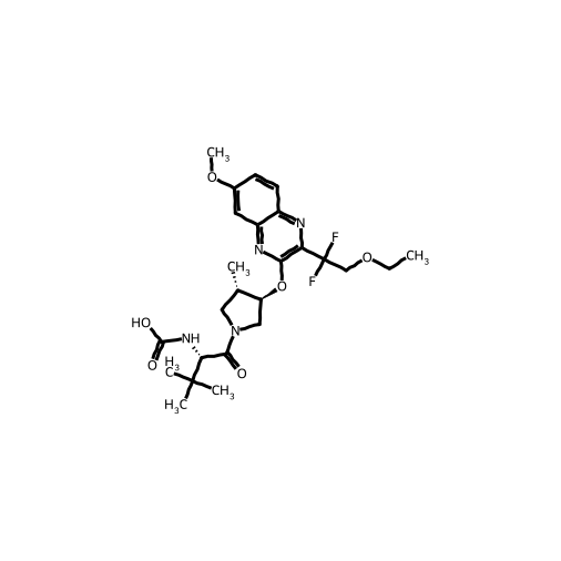 CCOCC(F)(F)c1nc2ccc(OC)cc2nc1O[C@H]1CN(C(=O)[C@@H](NC(=O)O)C(C)(C)C)C[C@@H]1C